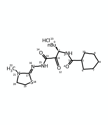 CCCC[C@@H](NC(=O)C1CCCCC1)C(=O)C(=O)N/N=C1\SCCN1C.Cl